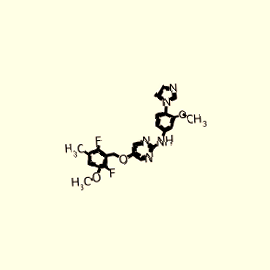 COc1cc(Nc2ncc(OCc3c(F)c(C)cc(OC)c3F)cn2)ccc1-n1ccnc1